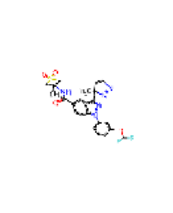 CC1(NC(=O)c2ccc3c(c2)c(C2(C)C=CN=N2)nn3-c2cccc(OC(F)F)c2)CS(=O)(=O)C1